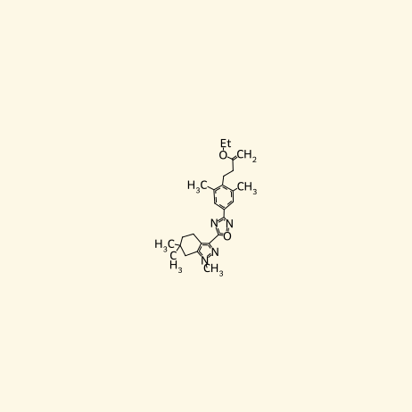 C=C(CCc1c(C)cc(-c2noc(-c3nn(C)c4c3CCC(C)(C)C4)n2)cc1C)OCC